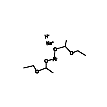 CCOC(C)[O][Al][O]C(C)OCC.[H-].[Na+]